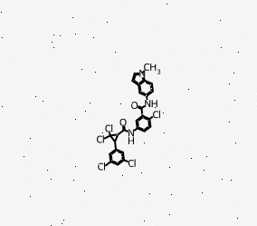 Cn1ccc2cc(NC(=O)c3cc(NC(=O)C4C(c5cc(Cl)cc(Cl)c5)C4(Cl)Cl)ccc3Cl)ccc21